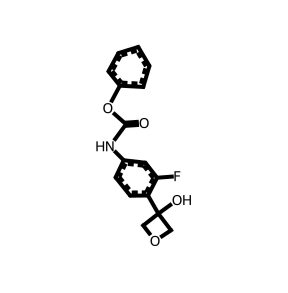 O=C(Nc1ccc(C2(O)COC2)c(F)c1)Oc1ccccc1